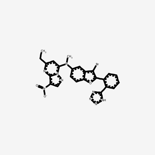 CCc1cc(N(C)c2ccc3oc(-c4ccccc4-c4nnn[nH]4)c(Br)c3c2)n2ncc([N+](=O)[O-])c2n1